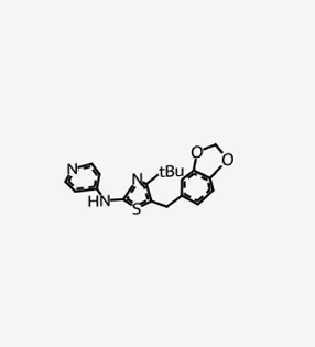 CC(C)(C)c1nc(Nc2ccncc2)sc1Cc1ccc2c(c1)OCO2